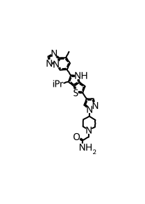 Cc1cc(-c2[nH]c3cc(-c4cnn(C5CCN(CC(N)=O)CC5)c4)sc3c2C(C)C)cn2ncnc12